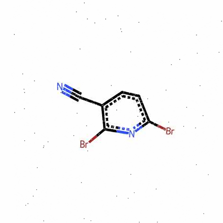 N#Cc1ccc(Br)nc1Br